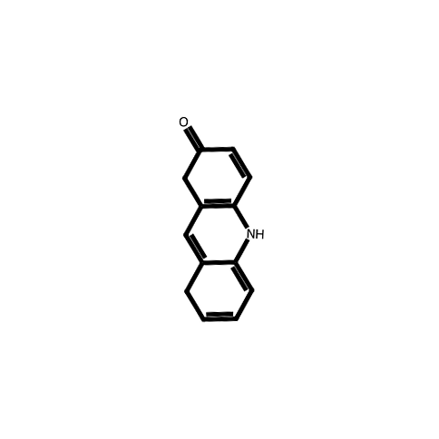 O=C1C=CC2=C(C=C3CC=CC=C3N2)C1